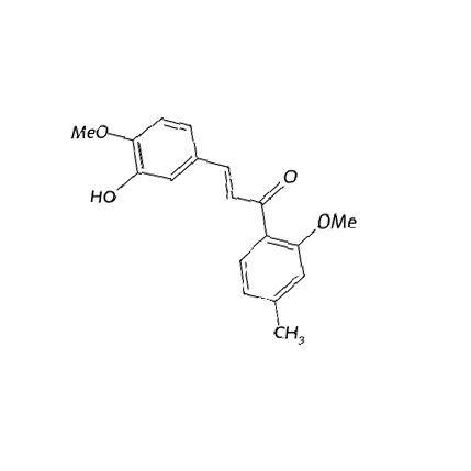 COc1ccc(C=CC(=O)c2ccc(C)cc2OC)cc1O